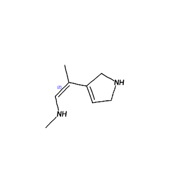 CN/C=C(/C)C1=CCNC1